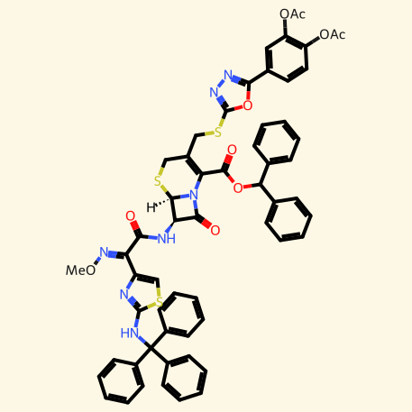 CO/N=C(/C(=O)N[C@@H]1C(=O)N2C(C(=O)OC(c3ccccc3)c3ccccc3)=C(CSc3nnc(-c4ccc(OC(C)=O)c(OC(C)=O)c4)o3)CS[C@H]12)c1csc(NC(c2ccccc2)(c2ccccc2)c2ccccc2)n1